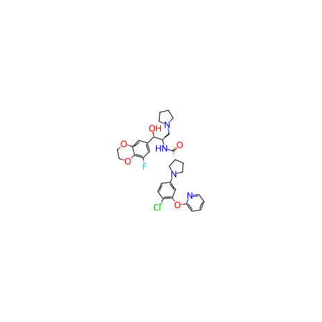 O=C(N[C@H](CN1CCCC1)[C@H](O)c1cc(F)c2c(c1)OCCO2)[C@@H]1CCN(c2ccc(Cl)c(Oc3ccccn3)c2)C1